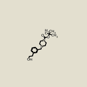 CC(C)(C)OC(=O)N1CCN(Cc2cccc(CCO)c2)CC1